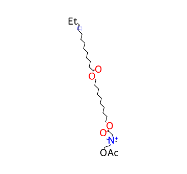 CC/C=C/CCCCCCCCC(=O)OCCCCCCCCCCOC(=O)C[N+](C)(C)CCOC(C)=O